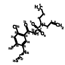 C=CCN(CCC)S(=O)(=O)NC(=O)c1cc(N=C=S)c(F)cc1Cl